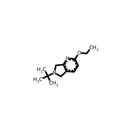 CCOc1ccc2c(n1)CN(C(C)(C)C)C2